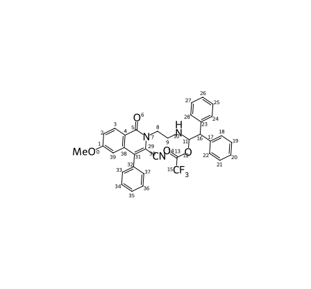 COc1ccc2c(=O)n(CCNC(OC(=O)C(F)(F)F)C(c3ccccc3)c3ccccc3)c(C#N)c(-c3ccccc3)c2c1